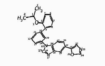 CC(C)Oc1ccccc1-c1cccc(-n2[13cH]nc3cc(-c4cnco4)ccc32)c1